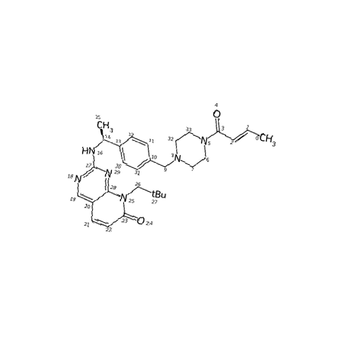 C/C=C/C(=O)N1CCN(Cc2ccc([C@H](C)Nc3ncc4ccc(=O)n(CC(C)(C)C)c4n3)cc2)CC1